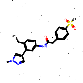 CCS(=O)(=O)c1ccc(CC(=O)Nc2ccc(CC(C)C)c(-c3cnn(C)c3)c2)cc1